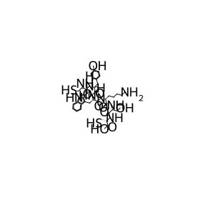 C[C@@H](O)[C@H](NC(=O)[C@H](CCCCN)NC(=O)[C@@H](Cc1c[nH]c2ccccc12)NC(=O)[C@H](Cc1ccc(O)cc1)NC(=O)[C@@H](N)CS)C(=O)N[C@@H](CS)C(=O)O